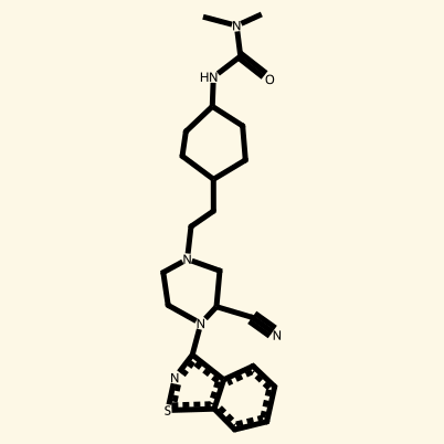 CN(C)C(=O)NC1CCC(CCN2CCN(c3nsc4ccccc34)C(C#N)C2)CC1